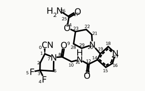 N#C[C@@H]1CC(F)(F)CN1C(=O)CNC(=O)c1ccncc1N1CCC(OC(N)=O)CC1